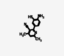 Cc1cc(C)c(C#N)c(-c2ccc(N)c(S)c2)n1